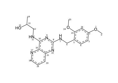 COc1ccc(CNc2nc(NCC(C)O)c3ncccc3n2)c(OC)c1